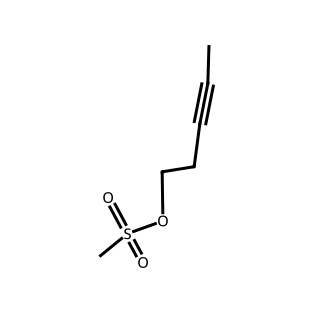 CC#CCCOS(C)(=O)=O